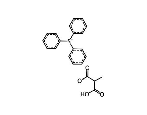 CC(C(=O)[O-])C(=O)O.c1ccc([S+](c2ccccc2)c2ccccc2)cc1